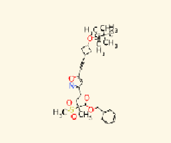 CC(C)(C)[Si](C)(C)OC1CC(C#Cc2cc(CC[C@](C)(C(=O)OCc3ccccc3)S(C)(=O)=O)no2)C1